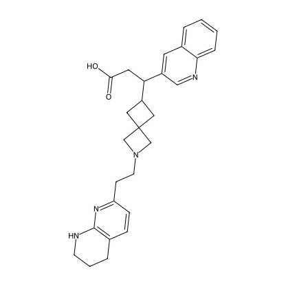 O=C(O)CC(c1cnc2ccccc2c1)C1CC2(C1)CN(CCc1ccc3c(n1)NCCC3)C2